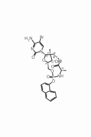 CC(C)OC(=O)[C@@H](C)NP(=O)(OC[C@H]1O[C@@H](n2cc(Br)c(N)nc2=O)[C@](C)(F)[C@@H]1O)Oc1cccc2ccccc12